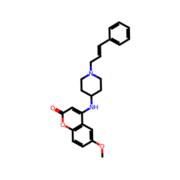 COc1ccc2oc(=O)cc(NC3CCN(CC=Cc4ccccc4)CC3)c2c1